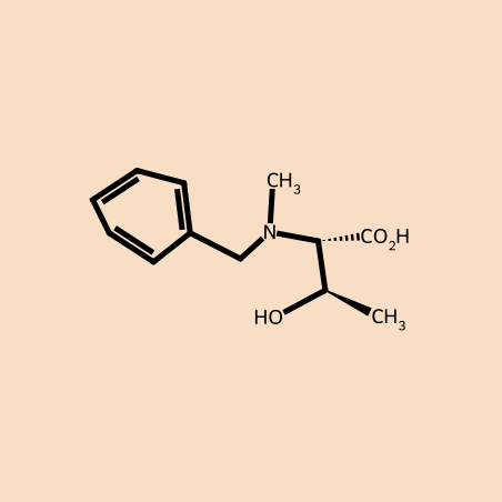 C[C@@H](O)[C@@H](C(=O)O)N(C)Cc1ccccc1